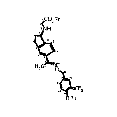 CCOC(=O)CNC1CCc2cc(/C(C)=N/OCc3ccc(OCC(C)C)c(C(F)(F)F)c3)ccc21